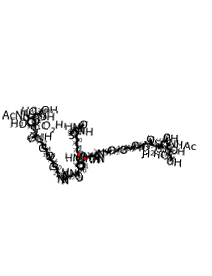 CC(=O)NC1C(O)CC(SCC(=O)NCCOCCOCCOCCn2cc(CNC(=O)c3ccc(C(=O)NCc4cn(CCOCCOCCOCCNC(=O)CSC5(C(=O)O)CC(O)C(NC(C)=O)C([C@H](O)[C@H](O)CO)O5)nn4)c(NC(=O)CCCCC4SCC5NC(=O)NC54)c3)nn2)(C(=O)O)OC1[C@H](O)[C@H](O)CO